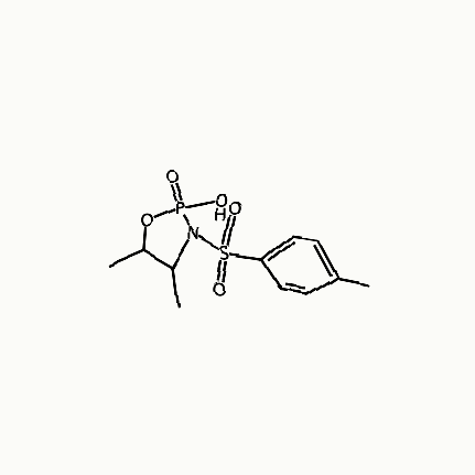 Cc1ccc(S(=O)(=O)N2C(C)C(C)OP2(=O)O)cc1